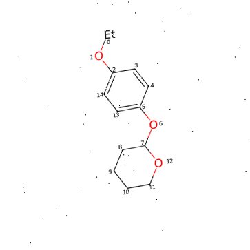 CCOc1ccc(OC2CCCCO2)cc1